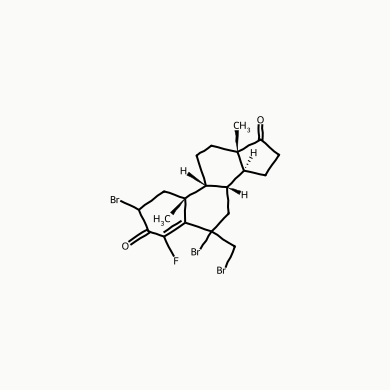 C[C@]12CC(Br)C(=O)C(F)=C1C(Br)(CBr)C[C@@H]1[C@H]2CC[C@]2(C)C(=O)CC[C@@H]12